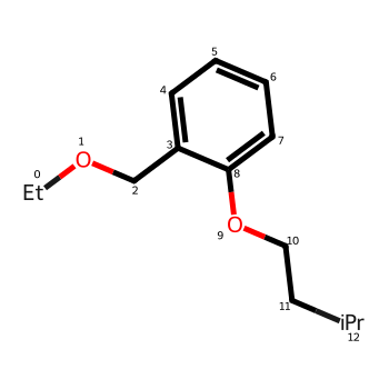 CCOCc1ccccc1OCCC(C)C